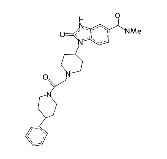 CNC(=O)c1ccc2c(c1)[nH]c(=O)n2C1CCN(CC(=O)N2CCC(c3ccccc3)CC2)CC1